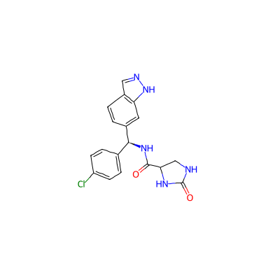 O=C1NCC(C(=O)N[C@@H](c2ccc(Cl)cc2)c2ccc3cn[nH]c3c2)N1